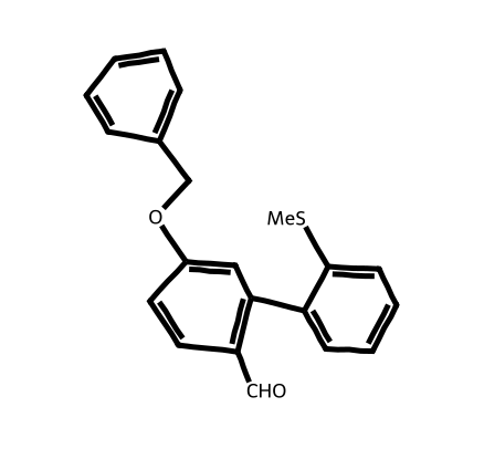 CSc1ccccc1-c1cc(OCc2ccccc2)ccc1C=O